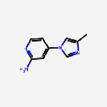 Cc1cn(-c2ccnc(N)c2)cn1